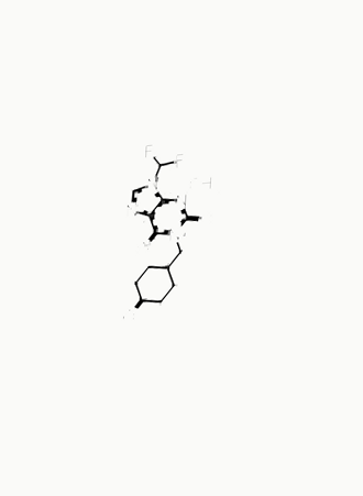 Cn1c(=O)n(CC2CCC(=O)CC2)c(=O)c2ncn(C(F)F)c21